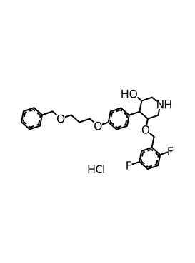 Cl.OC1CNCC(OCc2cc(F)ccc2F)C1c1ccc(OCCCOCc2ccccc2)cc1